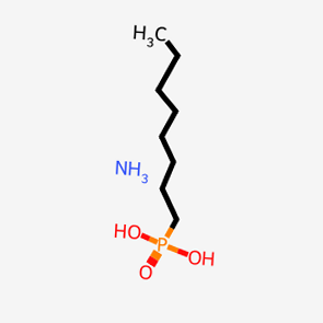 CCCCCCCCP(=O)(O)O.N